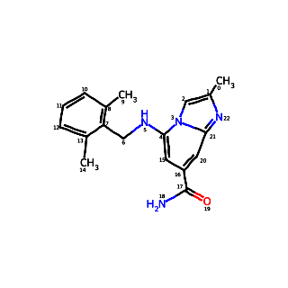 Cc1cn2c(NCc3c(C)cccc3C)cc(C(N)=O)cc2n1